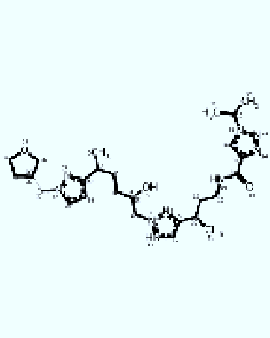 CC(CC[C@@H](O)C[n+]1nc(C(C)CCNC(=O)c2cn(C(C)C)nn2)c[nH]1)c1ccn(C[C@@H]2CCOC2)n1